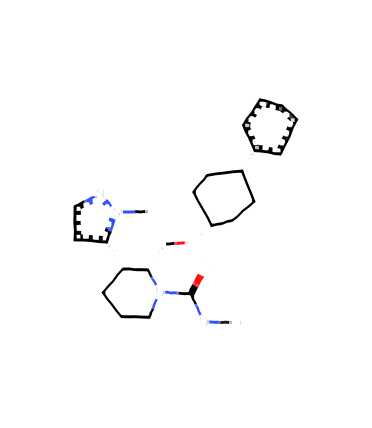 CCNC(=O)N1CCC[C@H](c2ccnn2C)[C@@H]1CO[C@H]1CC[C@@H](c2ccccc2)CC1